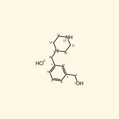 Cl.OCc1cccc(CN2CCNCC2)c1